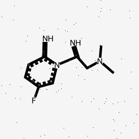 CN(C)CC(=N)n1cc(F)ccc1=N